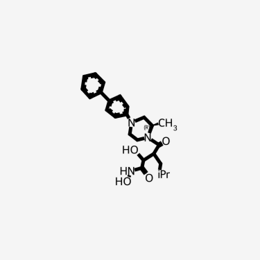 CC(C)CC(C(=O)N1CCN(c2ccc(-c3ccccc3)cc2)C[C@H]1C)C(O)C(=O)NO